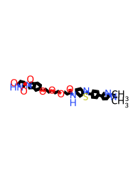 CN(C)c1ccc(-c2ccc(-c3nc4ccc(NC(=O)CCOCCOCCOc5ccc6c(c5)CN(C5CCC(=O)NC5=O)C6=O)cc4s3)cc2)cn1